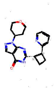 O=c1[nH]c([C@H]2CC[C@@H]2c2ccccn2)nc2c1cnn2C1CCOCC1